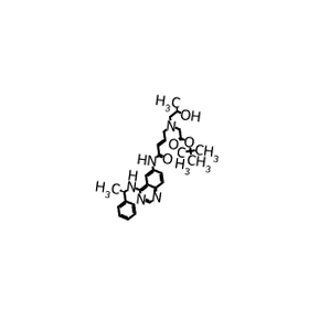 C[C@@H](O)CN(CC=CC(=O)Nc1ccc2ncnc(N[C@H](C)c3ccccc3)c2c1)CC(=O)OC(C)(C)C